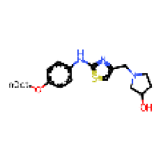 CCCCCCCCOc1ccc(Nc2nc(CN3CCC(O)C3)cs2)cc1